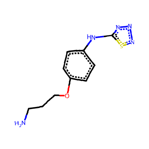 NCCCOc1ccc(Nc2nnns2)cc1